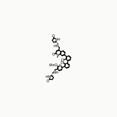 COc1nc(-c2cccc(-c3cccc(-c4ccc5c(CNC[C@@H]6CCC(=O)N6)cc(=O)n(C)c5c4)c3Cl)c2Cl)ccc1CNC[C@@H]1CCC(=O)N1